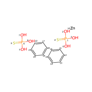 OP(O)(O)=S.OP(O)(O)=S.[Zn].c1ccccc1.c1ccccc1